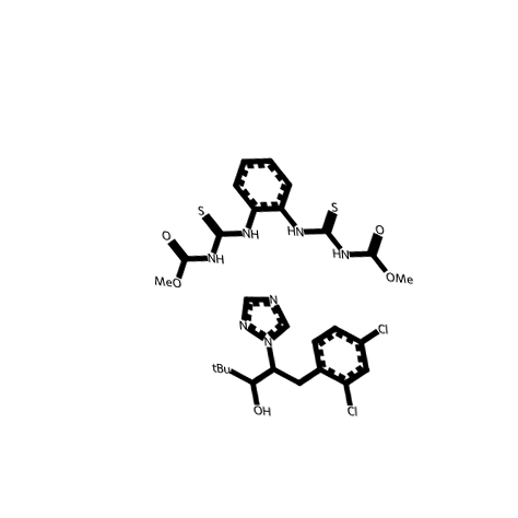 CC(C)(C)C(O)C(Cc1ccc(Cl)cc1Cl)n1cncn1.COC(=O)NC(=S)Nc1ccccc1NC(=S)NC(=O)OC